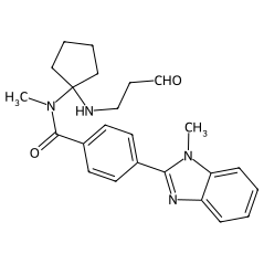 CN(C(=O)c1ccc(-c2nc3ccccc3n2C)cc1)C1(NCCC=O)CCCC1